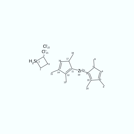 C1C[SiH2]C1.CC1=CC(C)[C]([Zr+2][C]2=C(C)C(C)=CC2C)=C1C.[Cl-].[Cl-]